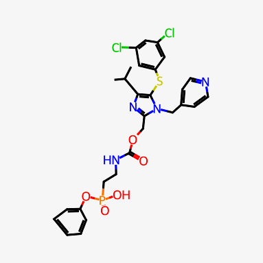 CC(C)c1nc(COC(=O)NCCP(=O)(O)Oc2ccccc2)n(Cc2ccncc2)c1Sc1cc(Cl)cc(Cl)c1